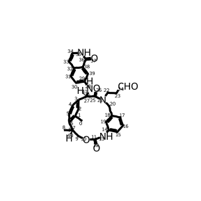 Cc1cc2ccc1[C@@H](C)COC(=O)Nc1cccc(c1)CN(CCC=O)C(=O)[C@@H]2Nc1ccc2cc[nH]c(=O)c2c1